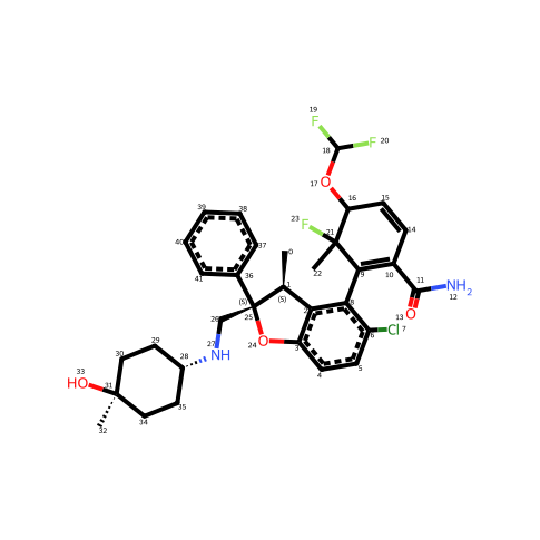 C[C@H]1c2c(ccc(Cl)c2C2=C(C(N)=O)C=CC(OC(F)F)C2(C)F)O[C@]1(CN[C@H]1CC[C@](C)(O)CC1)c1ccccc1